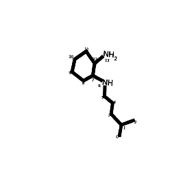 CC(C)CCCNC1CCCCC1N